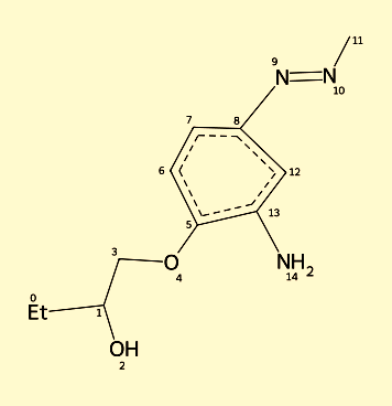 CCC(O)COc1ccc(N=NC)cc1N